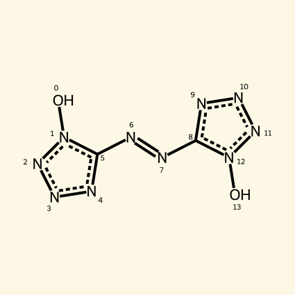 On1nnnc1N=Nc1nnnn1O